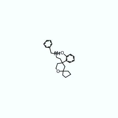 COc1ccccc1C1(CCNCc2ccccc2)CCOC2(CCCC2)C1